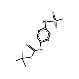 CC(C)(C)OC(=O)Nc1ccc(NS(C)(=O)=O)cn1